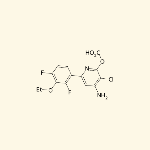 CCOc1c(F)ccc(-c2cc(N)c(Cl)c(OC(=O)O)n2)c1F